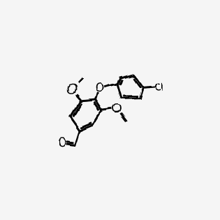 COc1cc(C=O)cc(OC)c1Oc1ccc(Cl)cc1